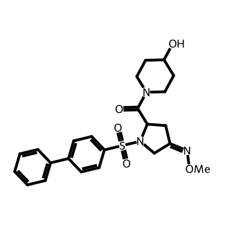 CON=C1CC(C(=O)N2CCC(O)CC2)N(S(=O)(=O)c2ccc(-c3ccccc3)cc2)C1